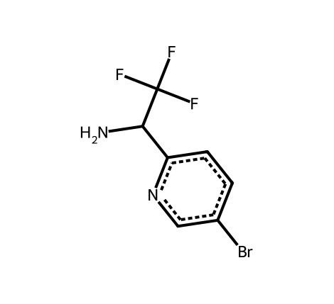 NC(c1ccc(Br)cn1)C(F)(F)F